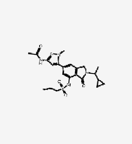 CCCS(=O)(=O)Nc1cc(-c2cc(NC(C)=O)nn2C)cc2c1C(=O)N(C(C)C1CC1)C2